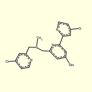 CN(Cc1cc(Cl)ccn1)Cc1cc(O)cc(-c2cc(Cl)ccn2)n1